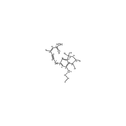 CCCOc1cc([Se]C#CC(C)=CC(=O)O)cc2c1C(C)C(C)CC2(C)C